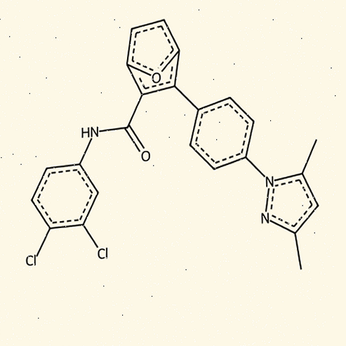 Cc1cc(C)n(-c2ccc(-c3c(C(=O)Nc4ccc(Cl)c(Cl)c4)c4ccc3o4)cc2)n1